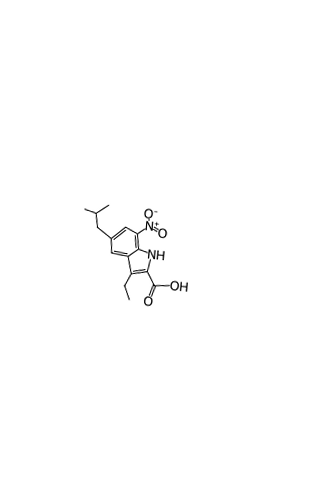 CCc1c(C(=O)O)[nH]c2c([N+](=O)[O-])cc(CC(C)C)cc12